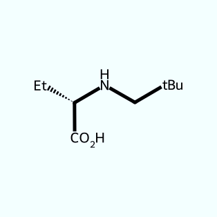 CC[C@H](NCC(C)(C)C)C(=O)O